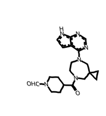 O=CN1CCC(C(=O)N2CCN(c3ncnc4[nH]ccc34)CC3(CC3)C2)CC1